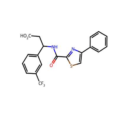 O=C(O)CC(NC(=O)c1nc(-c2ccccc2)cs1)c1cccc(C(F)(F)F)c1